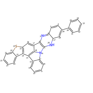 C1=CC2=Nc3c(n4c5ccccc5c5c6c(cc3c54)sc3ccccc36)NC2C=C1c1ccccc1